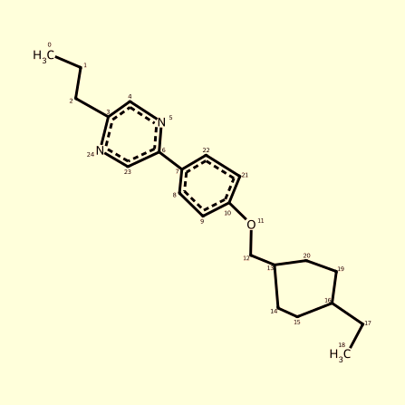 CCCc1cnc(-c2ccc(OCC3CCC(CC)CC3)cc2)cn1